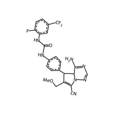 COCC1=C(C#N)N2N=CN=C(N)C2C1c1ccc(NC(=O)Nc2cc(C(F)(F)F)ccc2F)cc1